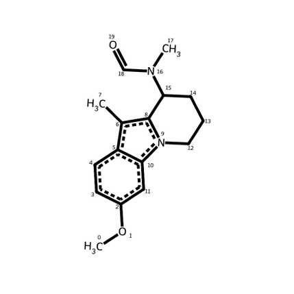 COc1ccc2c(C)c3n(c2c1)CCCC3N(C)C=O